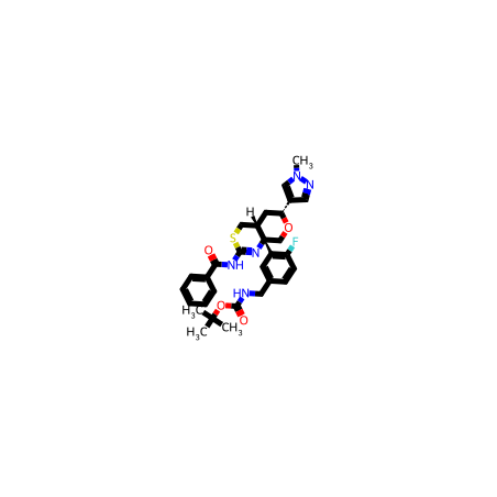 Cn1cc([C@H]2C[C@H]3CSC(NC(=O)c4ccccc4)=N[C@@]3(c3cc(CNC(=O)OC(C)(C)C)ccc3F)CO2)cn1